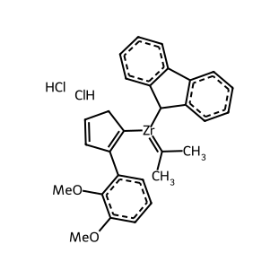 COc1cccc(C2=[C]([Zr](=[C](C)C)[CH]3c4ccccc4-c4ccccc43)CC=C2)c1OC.Cl.Cl